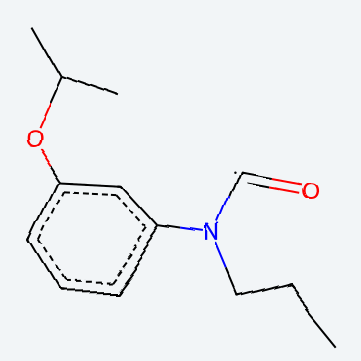 CCCN([C]=O)c1cccc(OC(C)C)c1